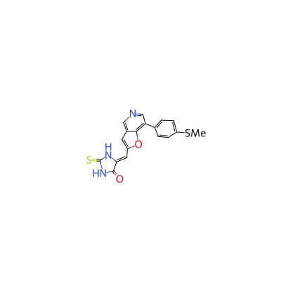 CSc1ccc(-c2cncc3cc(/C=C4\NC(=S)NC4=O)oc23)cc1